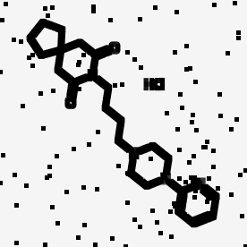 Cl.O=C1CC2(CCCC2)CC(=O)N1CCCCN1CCN(c2ccccn2)CC1